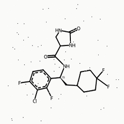 O=C1NCC(C(=O)N[C@@H](CC2CCC(F)(F)CC2)c2ccc(F)c(Cl)c2F)N1